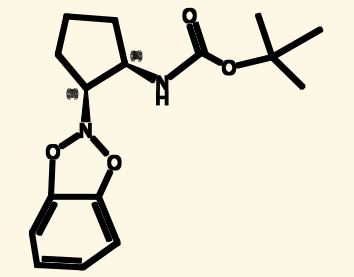 CC(C)(C)OC(=O)N[C@@H]1CCC[C@@H]1N1Oc2ccccc2O1